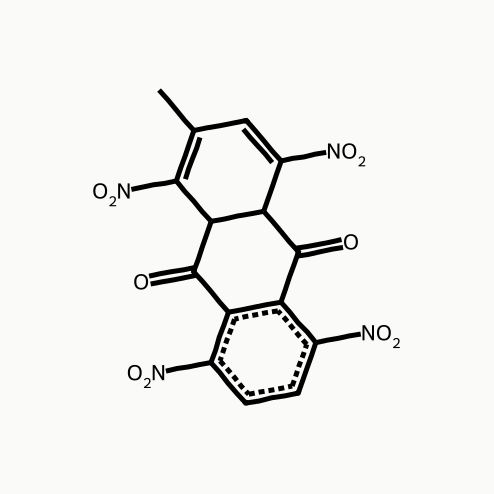 CC1=C([N+](=O)[O-])C2C(=O)c3c([N+](=O)[O-])ccc([N+](=O)[O-])c3C(=O)C2C([N+](=O)[O-])=C1